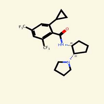 O=C(N[C@@H]1CCC[C@@H]1N1CCCC1)c1c(C2CC2)cc(C(F)(F)F)cc1C(F)(F)F